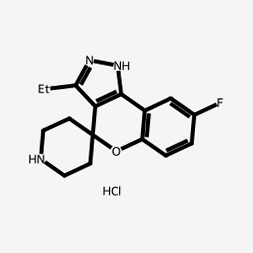 CCc1n[nH]c2c1C1(CCNCC1)Oc1ccc(F)cc1-2.Cl